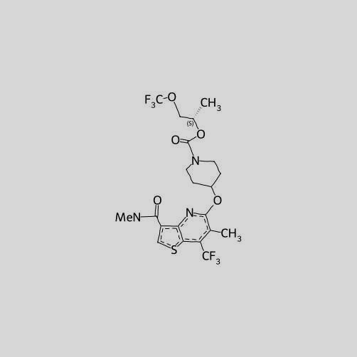 CNC(=O)c1csc2c(C(F)(F)F)c(C)c(OC3CCN(C(=O)O[C@@H](C)COC(F)(F)F)CC3)nc12